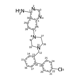 Nc1ncnc2cc(N3CCN(Cc4ccccc4-c4ccc(Cl)cc4)CC3)ccc12